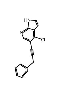 Clc1c(C#CCc2ccccc2)cnc2[nH]ccc12